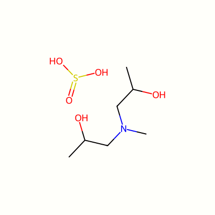 CC(O)CN(C)CC(C)O.O=S(O)O